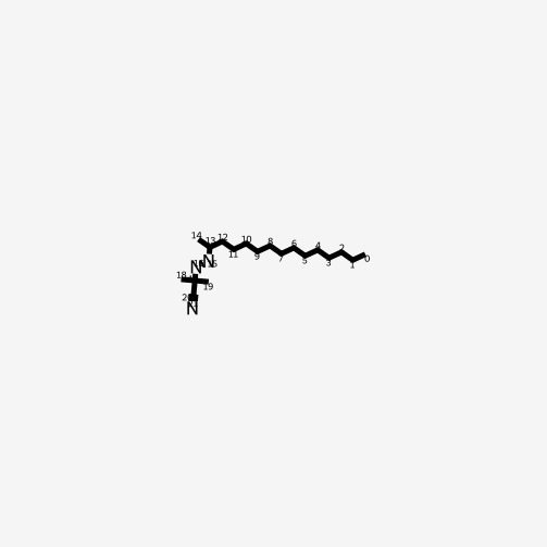 CCCCCCCCCCCCCC(C)N=NC(C)(C)C#N